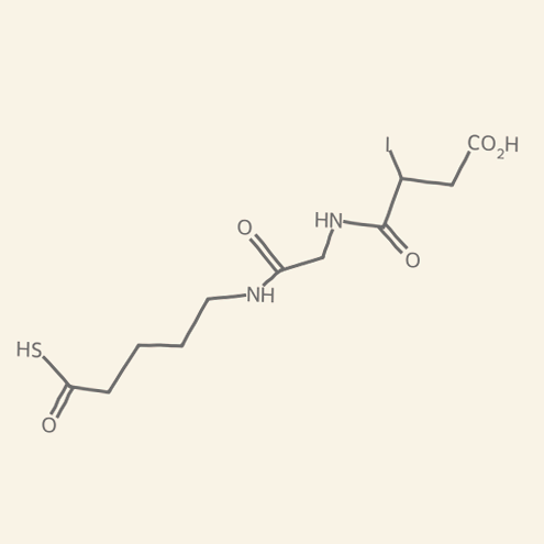 O=C(O)CC(I)C(=O)NCC(=O)NCCCCC(=O)S